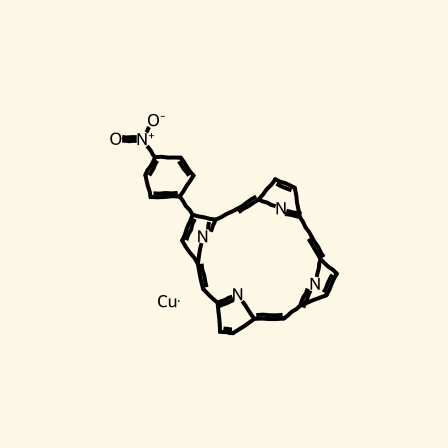 O=[N+]([O-])c1ccc(C2=CC3=CC4=NC(=CC5=NC(=CC6=NC(=CC2=N3)C=C6)C=C5)C=C4)cc1.[Cu]